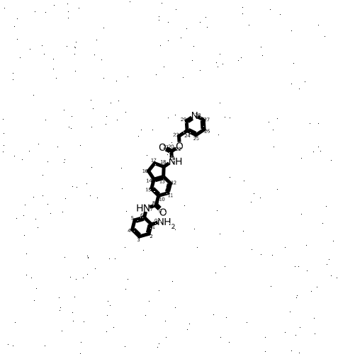 Nc1ccccc1NC(=O)c1ccc2c(c1)CCC2NC(=O)OCc1cccnc1